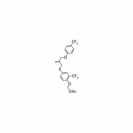 C=C(COc1ccc(C(F)(F)F)cc1)CSc1ccc(OCOC(C)=O)c(C(F)(F)F)c1